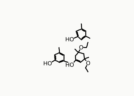 CCOC1(C)C=C(O)CC(C)(OCC)C1.Cc1cc(C)cc(O)c1.Cc1cc(C)cc(O)c1